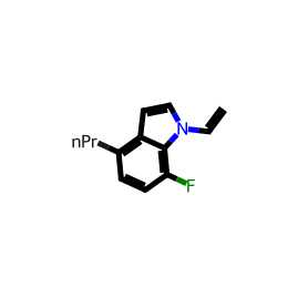 C=Cn1ccc2c(CCC)ccc(F)c21